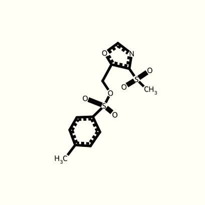 Cc1ccc(S(=O)(=O)OCc2ocnc2S(C)(=O)=O)cc1